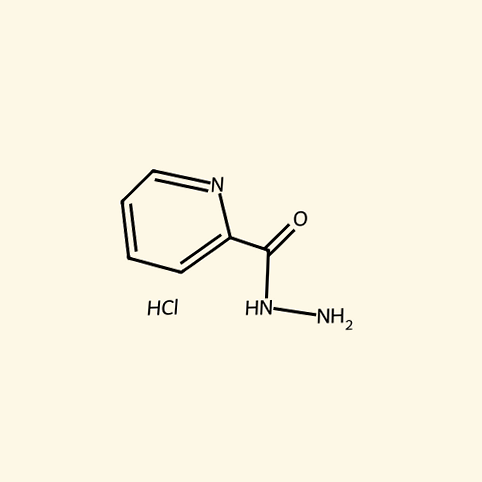 Cl.NNC(=O)c1ccccn1